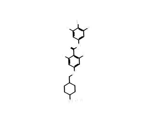 CCCCCC1CCC(COc2cc(F)c(C(=O)Oc3cc(F)c(F)c(F)c3)c(F)c2)CC1